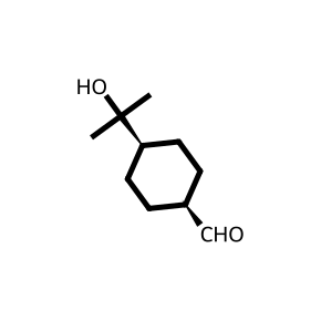 CC(C)(O)[C@H]1CC[C@@H](C=O)CC1